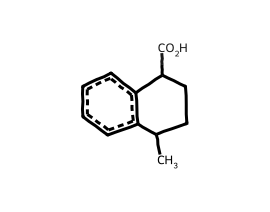 CC1CCC(C(=O)O)c2ccccc21